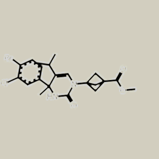 COC(=O)C12CC(N3C=C(C(C)C)C(C)(c4ccc(Br)c(Cl)c4)NC3=O)(C1)C2